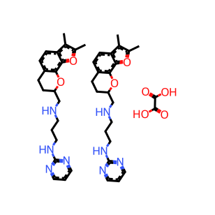 Cc1oc2c3c(ccc2c1C)CCC(CNCCCNc1ncccn1)O3.Cc1oc2c3c(ccc2c1C)CCC(CNCCCNc1ncccn1)O3.O=C(O)C(=O)O